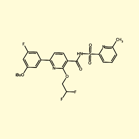 Cc1cccc(S(=O)(=O)NC(=O)c2ccc(-c3cc(F)cc(OCC(C)C)c3)nc2OCC(F)F)n1